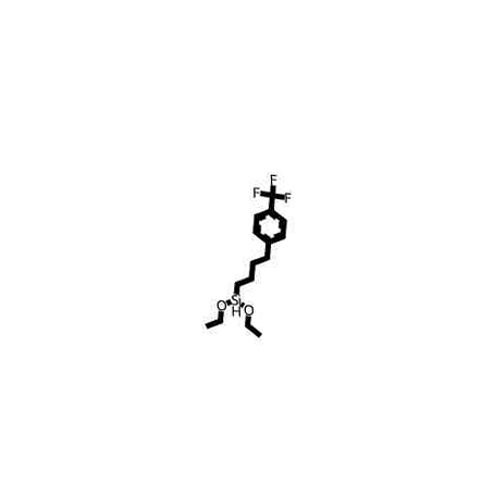 CCO[SiH](CCCCc1ccc(C(F)(F)F)cc1)OCC